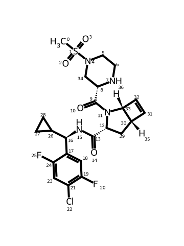 CS(=O)(=O)N1CCN[C@H](C(=O)N2[C@@H](C(=O)N[C@@H](c3cc(F)c(Cl)cc3F)C3CC3)C[C@H]3C=C[C@H]32)C1